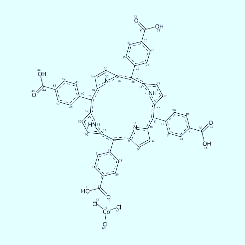 O=C(O)c1ccc(-c2c3nc(c(-c4ccc(C(=O)O)cc4)c4ccc([nH]4)c(-c4ccc(C(=O)O)cc4)c4nc(c(-c5ccc(C(=O)O)cc5)c5ccc2[nH]5)C=C4)C=C3)cc1.[Cl][Co]([Cl])[Cl]